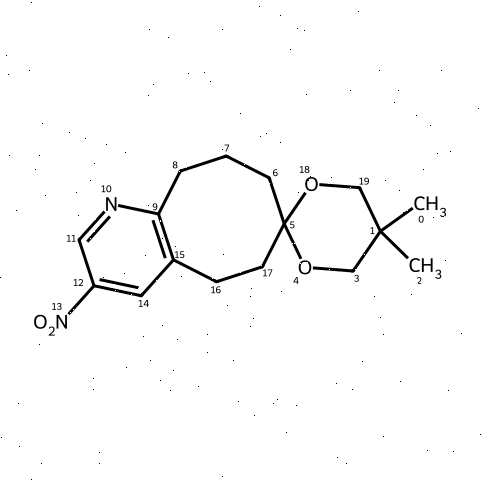 CC1(C)COC2(CCCc3ncc([N+](=O)[O-])cc3CC2)OC1